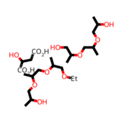 CC(O)COC(C)COC(C)CO.CCOCC(C)OCC(C)OCC(C)O.O=C(O)CC(O)C(=O)O